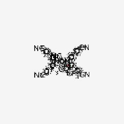 N#Cc1ccc(-c2ccc3c(c2)c2cc(-c4ccc(C#N)cc4)ccc2n3-c2cc(-c3ccc(C(F)(F)F)cc3C(F)(F)F)c(-n3c4ccc(-c5ccc(C#N)cc5)cc4c4cc(-c5ccc(C#N)cc5)ccc43)cc2C#N)cc1